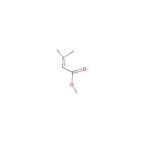 COC(=O)C=S(C)C